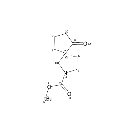 CC(C)(C)OC(=O)N1CC[C@@]2(CCCC2=O)C1